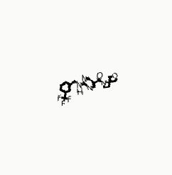 O=C(c1cnc(NCc2cccc(C(F)(F)F)c2)nc1)N1CCC12COC2